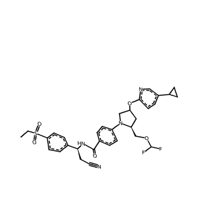 CCS(=O)(=O)c1ccc([C@H](CC#N)NC(=O)c2ccc(N3CC(Oc4ccc(C5CC5)cn4)C[C@H]3COC(F)F)cc2)cc1